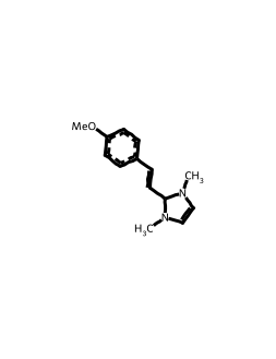 COc1ccc(C=CC2N(C)C=CN2C)cc1